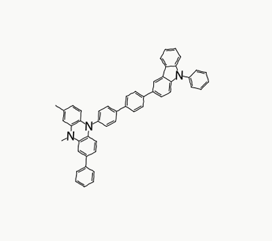 Cc1ccc2c(c1)N(C)c1cc(-c3ccccc3)ccc1N2c1ccc(-c2ccc(-c3ccc4c(c3)c3ccccc3n4-c3ccccc3)cc2)cc1